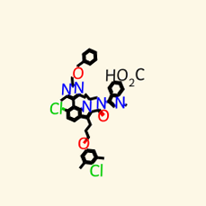 Cc1cc(OCCCc2c3n(c4c(-c5c(C)nc(COCc6ccccc6)nc5C)c(Cl)ccc24)C(C)CN(c2cn(C)c4ccc(C(=O)O)cc24)C3=O)cc(C)c1Cl